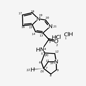 Cl.Cl.O=C(N[C@@H]1C[C@@H]2CCN(C2)C1)c1cc2cccn2cn1